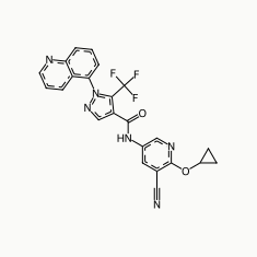 N#Cc1cc(NC(=O)c2cnn(-c3cccc4ncccc34)c2C(F)(F)F)cnc1OC1CC1